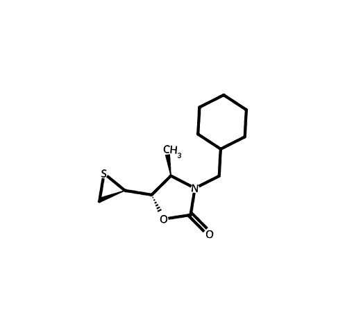 C[C@@H]1[C@@H]([C@H]2CS2)OC(=O)N1CC1CCCCC1